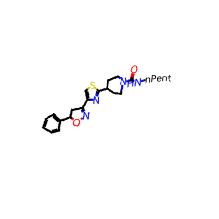 CCCCCNC(=O)N1CCC(c2nc(C3=NOC(c4ccccc4)C3)cs2)CC1